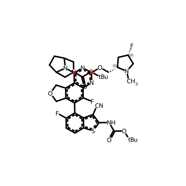 CN1C[C@@H](F)C[C@H]1COc1nc(N2C3CCC2CN(C(=O)OC(C)(C)C)C3)c2c3c(c(-c4c(F)ccc5sc(NC(=O)OC(C)(C)C)c(C#N)c45)c(F)c2n1)COC3